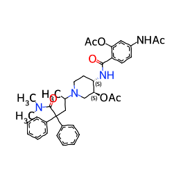 CC(=O)Nc1ccc(C(=O)N[C@H]2CCN(C(C)CC(C(=O)N(C)C)(c3ccccc3)c3ccccc3)C[C@@H]2OC(C)=O)c(OC(C)=O)c1